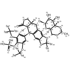 [2H]C([2H])([2H])Oc1cc([C@@H]2c3cc4c(cc3[C@@H](O[C@@H]3O[C@@H]5CO[C@@H](C)O[C@H]5[C@H](O)[C@H]3O)[C@H]3COC(=O)[C@H]23)OC([2H])([2H])O4)cc(OC([2H])([2H])[2H])c1OP(=O)(O)O